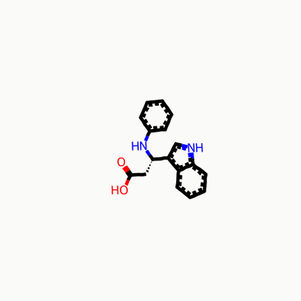 O=C(O)C[C@H](Nc1ccccc1)c1c[nH]c2ccccc12